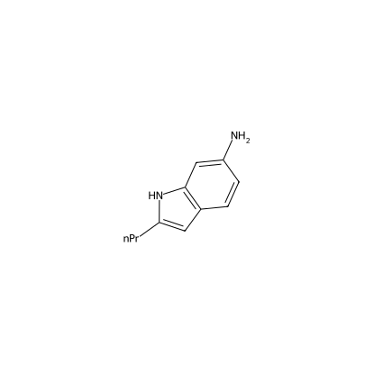 CCCc1cc2ccc(N)cc2[nH]1